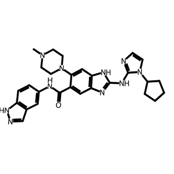 CN1CCN(c2cc3[nH]c(Nc4nccn4C4CCCC4)nc3cc2C(=O)Nc2ccc3[nH]ncc3c2)CC1